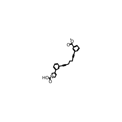 COC(=O)c1cccc(C#CCCCC#Cc2cccc(C3=CCN(C(=O)O)C3)c2)c1